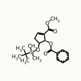 COC(=O)C1=CCC(O[Si](C)(C)C(C)(C)C)[C@@H]1OC(=O)c1ccccc1